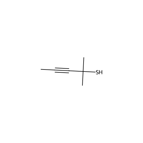 CC#CC(C)(C)S